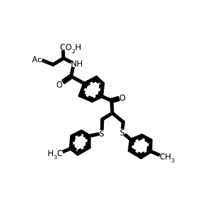 CC(=O)CC(NC(=O)c1ccc(C(=O)C(CSc2ccc(C)cc2)CSc2ccc(C)cc2)cc1)C(=O)O